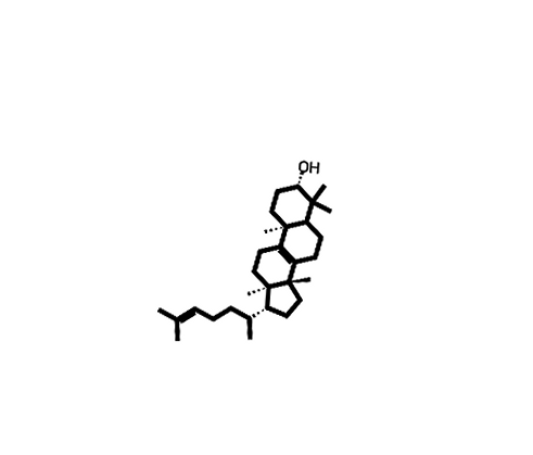 CC(C)=CCCC(C)[C@H]1CC[C@@]2(C)C3=C(CC[C@]12C)[C@@]1(C)CC[C@H](O)C(C)(C)C1CC3